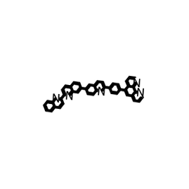 c1ccc2nc(-c3ccc4ccc(-c5ccc6nc(-c7ccc(-c8cc9cccnc9c9ncccc89)cc7)ccc6c5)cc4n3)ccc2c1